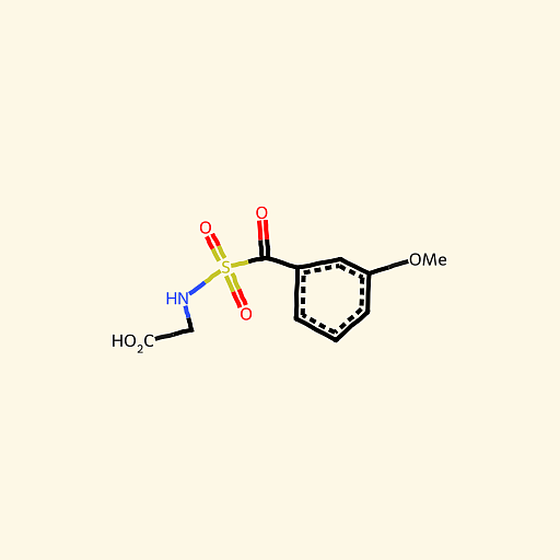 COc1cccc(C(=O)S(=O)(=O)NCC(=O)O)c1